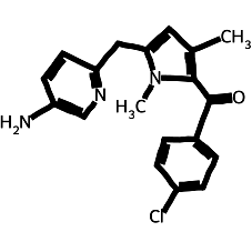 Cc1cc(Cc2ccc(N)cn2)n(C)c1C(=O)c1ccc(Cl)cc1